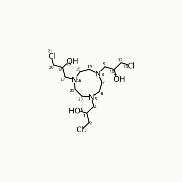 OC(CCl)CN1CCN(CC(O)CCl)CCN(CC(O)CCl)CC1